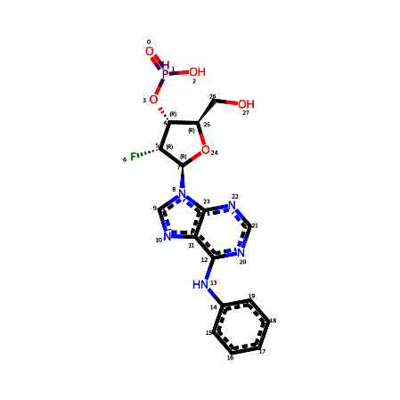 O=[PH](O)O[C@H]1[C@@H](F)[C@H](n2cnc3c(Nc4ccccc4)ncnc32)O[C@@H]1CO